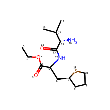 CCOC(=O)C(C[C@@H]1CCCS1)NC(=O)[C@@H](N)C(C)C